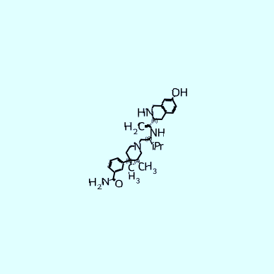 C=C(N[C@H](CN1CC[C@@](C)(c2cccc(C(N)=O)c2)[C@@H](C)C1)C(C)C)[C@H]1Cc2ccc(O)cc2CN1